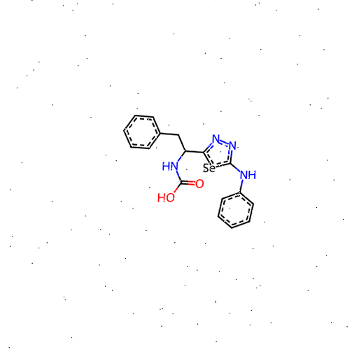 O=C(O)NC(Cc1ccccc1)c1nnc(Nc2ccccc2)[se]1